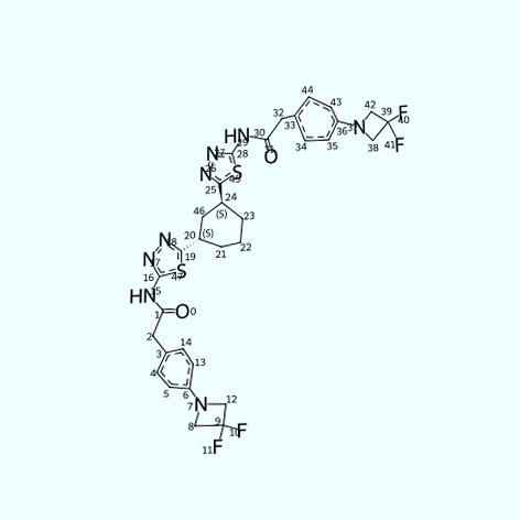 O=C(Cc1ccc(N2CC(F)(F)C2)cc1)Nc1nnc([C@H]2CCC[C@H](c3nnc(NC(=O)Cc4ccc(N5CC(F)(F)C5)cc4)s3)C2)s1